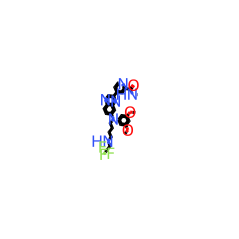 CNC(=O)c1cc(-c2cnc3ccc(N(CCCCNCC(F)(F)F)c4cc(OC)cc(OC)c4)cc3n2)ccn1